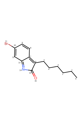 CCCCCCC1=c2ccc(Br)cc2=NC1=O